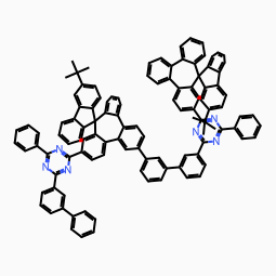 CC(C)(C)c1ccc2c(c1)-c1ccccc1C21c2ccccc2-c2ccc(-c3cccc(-c4cccc(-c5nc(-c6ccccc6)nc(-c6ccc7c(c6)C6(c8ccccc8-c8ccccc8-7)c7ccccc7-c7ccc(C(C)(C)C)cc76)n5)c4)c3)cc2-c2ccc(-c3nc(-c4ccccc4)nc(-c4cccc(-c5ccccc5)c4)n3)cc21